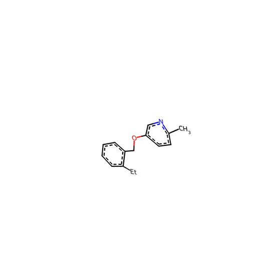 CCc1ccccc1COc1ccc(C)nc1